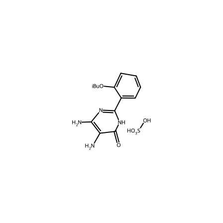 CC(C)COc1ccccc1-c1nc(N)c(N)c(=O)[nH]1.O=S(=O)(O)O